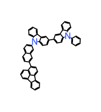 c1ccc(-n2c3ccccc3c3cc(-c4ccc5c(c4)c4ccccc4n5-c4ccc5ccc(-c6ccc7c8c(cccc68)-c6ccccc6-7)cc5c4)ccc32)cc1